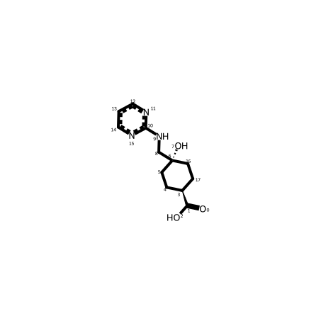 O=C(O)[C@H]1CC[C@@](O)(CNc2ncccn2)CC1